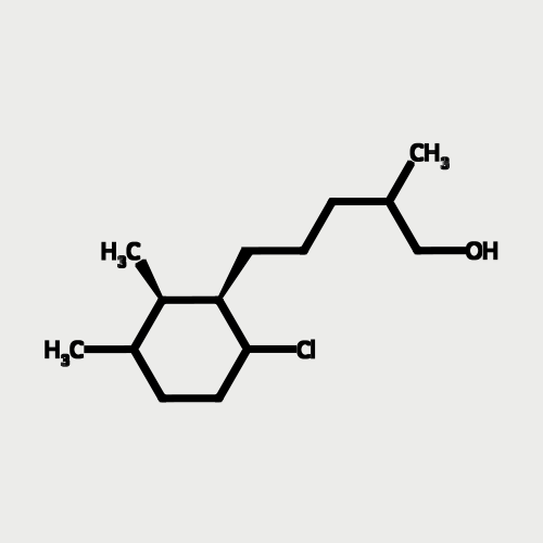 CC(CO)CCC[C@H]1C(Cl)CCC(C)[C@H]1C